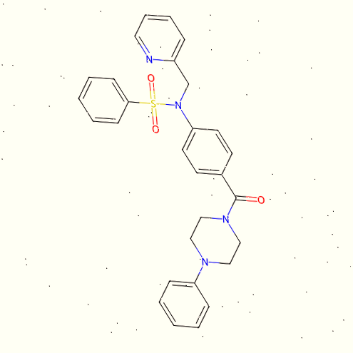 O=C(c1ccc(N(Cc2ccccn2)S(=O)(=O)c2ccccc2)cc1)N1CCN(c2ccccc2)CC1